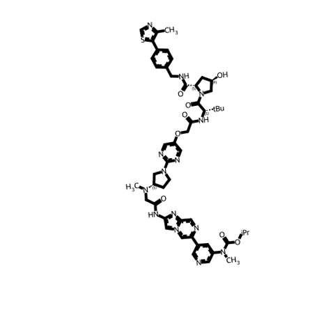 Cc1ncsc1-c1ccc(CNC(=O)[C@@H]2C[C@@H](O)CN2C(=O)[C@@H](NC(=O)COc2cnc(N3CC[C@H](N(C)CC(=O)Nc4cn5cc(-c6cncc(N(C)C(=O)OC(C)C)c6)ncc5n4)C3)nc2)C(C)(C)C)cc1